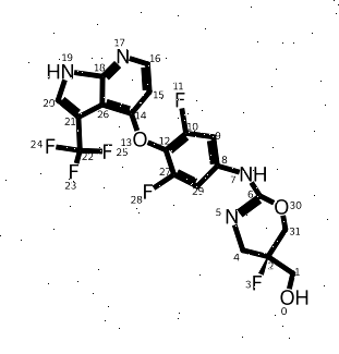 OC[C@]1(F)CN=C(Nc2cc(F)c(Oc3ccnc4[nH]cc(C(F)(F)F)c34)c(F)c2)OC1